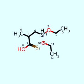 CCO[SiH](CC(C)C(O)=S)OCC